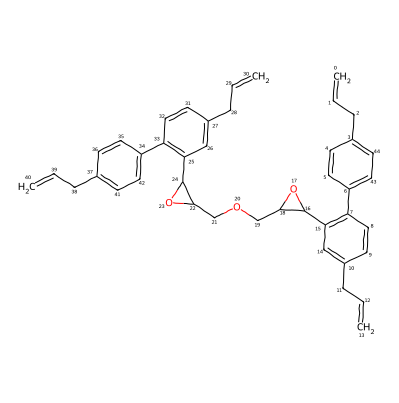 C=CCc1ccc(-c2ccc(CC=C)cc2C2OC2COCC2OC2c2cc(CC=C)ccc2-c2ccc(CC=C)cc2)cc1